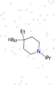 CCCCC1(CC)CCN(C(C)C)CC1